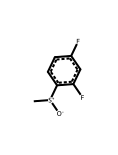 C[S+]([O-])c1ccc(F)cc1F